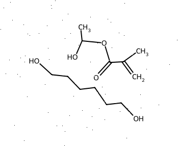 C=C(C)C(=O)OC(C)O.OCCCCCCO